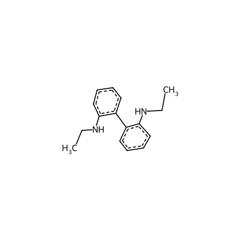 CCNc1ccccc1-c1ccccc1NCC